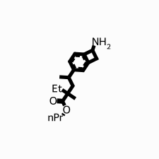 CCCOC(=O)C(C)(CC)CC(C)c1ccc2c(c1)CC2N